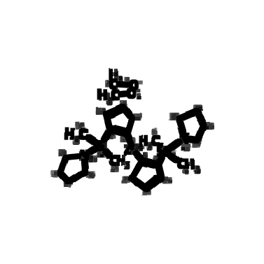 C[O-].C[O-].C[Si](C)(C1=[C]([Zr+2][C]2=C([Si](C)(C)N3CCCC3)C=CC2)CC=C1)N1CCCC1